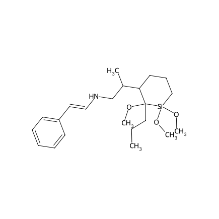 CCCC1(OC)C(C(C)CNC=Cc2ccccc2)CCC[Si]1(OC)OC